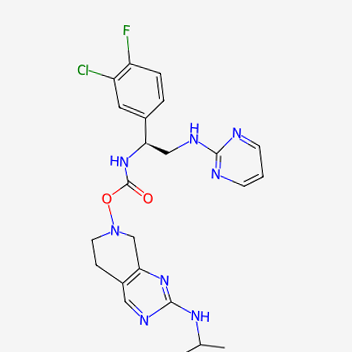 CC(C)Nc1ncc2c(n1)CN(OC(=O)N[C@H](CNc1ncccn1)c1ccc(F)c(Cl)c1)CC2